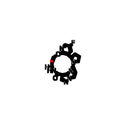 O=C1N[C@H]2C=C(C2)Oc2ncc(F)cc2C2CCCN2c2ccn3ncc1c3n2